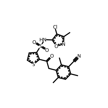 Cc1cc(C)c(CC(=O)c2sccc2S(=O)(=O)Nc2onc(C)c2Cl)c(C)c1C#N